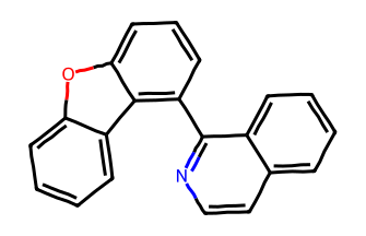 c1ccc2c(-c3cccc4oc5ccccc5c34)nccc2c1